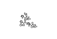 O=CC(C(=O)C(F)(F)F)c1cccs1.O=CC(C(=O)C(F)(F)F)c1cccs1.O=CC(C(=O)C(F)(F)F)c1cccs1.[Eu]